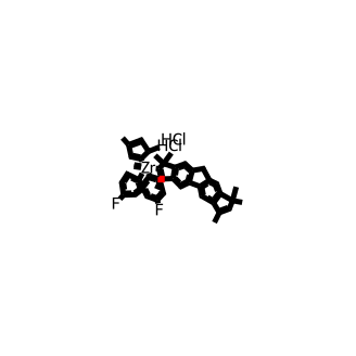 Cl.Cl.[CH2]=[Zr]([C]1=CC(C)=CC1C)([C]1=C(C)c2cc3c(cc2C1(C)C)Cc1cc2c(cc1-3)C(C)=CC2(C)C)([c]1ccc(F)cc1)[c]1ccc(F)cc1